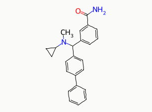 CN(C1CC1)C(c1ccc(-c2ccccc2)cc1)c1cccc(C(N)=O)c1